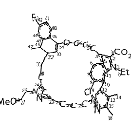 CCn1c(C(=O)O)c2c3ccc(Cl)c(c31)-c1c(C)c(C)nn1CCCc1cc(n(CCOC)n1)CCC1C=C(OCCC2)c2ccc(F)cc2C1C